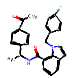 COC(=O)c1ccc([C@H](C)NC(=O)c2cccc3ccn(Cc4ccc(F)cc4)c23)cc1